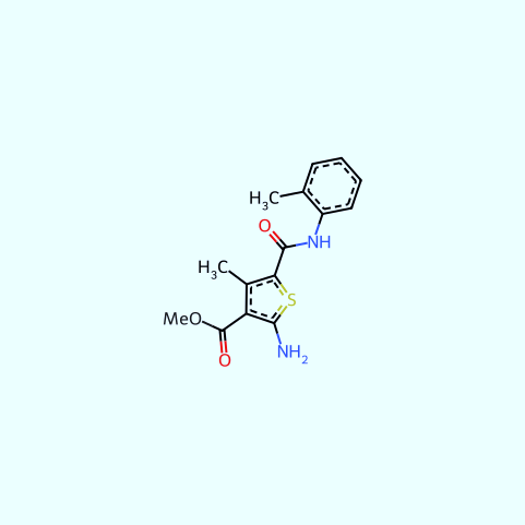 COC(=O)c1c(N)sc(C(=O)Nc2ccccc2C)c1C